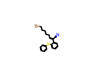 N#C/C(=C\CCCCCBr)c1ccccc1Sc1ccccc1